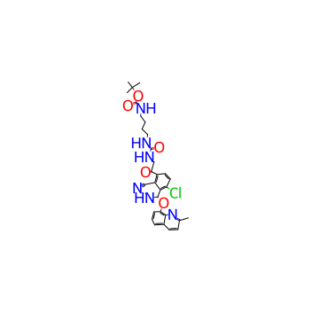 CNC(Oc1cccc2ccc(C)nc12)c1c(Cl)ccc(C(=O)CNC(=O)NCCCCNC(=O)OC(C)(C)C)c1C#N